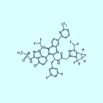 CS(=O)(=O)Nc1nn(CC(F)F)c2c(-n3c([C@H](Cc4cc(F)cc(F)c4)NC(=O)Cn4nc(C(F)F)c5c4C(F)(F)[C@@H]4C[C@H]54)nc4cc(-c5cccc(C(F)(F)F)n5)ccc4c3=O)ccc(Cl)c12